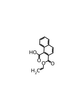 C=COC(=O)c1ccc2ccccc2c1C(=O)O